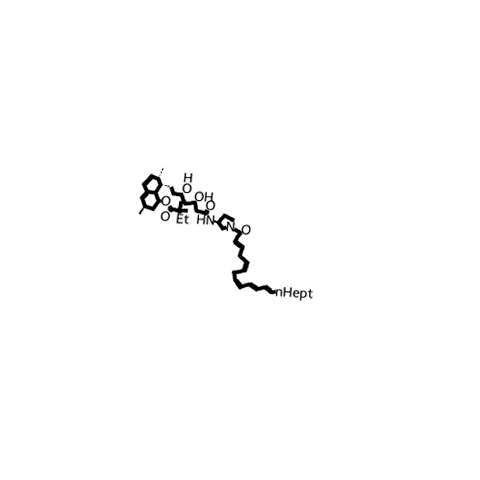 CCCCCCCC=CC=C/C=C\C/C=C\CC=CC(=O)N1CC[C@H](NC(=O)C[C@H](O)C[C@@H](O)CC[C@@H]2C3C(=C[C@H](C)CC3OC(=O)C(C)(C)CC)C=C[C@@H]2C)C1